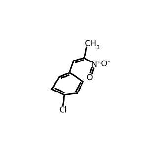 CC(=Cc1ccc(Cl)cc1)[N+](=O)[O-]